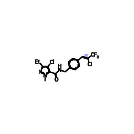 CCc1nn(C)c(C(=O)NCc2ccc(/C=C(\Cl)C(F)(F)F)cc2)c1Cl